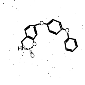 O=S1NCc2ccc(Oc3ccc(Oc4ccccc4)cc3)cc2O1